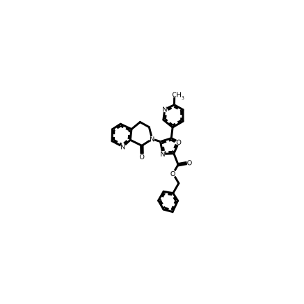 Cc1ccc(-c2oc(C(=O)OCc3ccccc3)nc2N2CCc3cccnc3C2=O)cn1